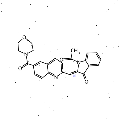 CC(=O)N1/C(=C\c2ccc3cc(C(=O)N4CCOCC4)ccc3n2)C(=O)c2ccccc21